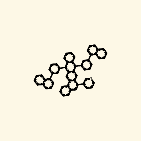 c1cc(-c2cccc3ccccc23)cc(-c2c3ccccc3c(-c3cccc(-c4cccc5ccccc45)c3)c3cc4c(cc23)c(-c2cccnc2)cc2ccccc24)c1